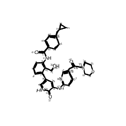 O=C(Nc1cccc(-c2c[nH]c(=O)c(Nc3ccc(C(=O)N4CCOCC4)cn3)c2)c1CO)c1ccc(C2CC2)cc1